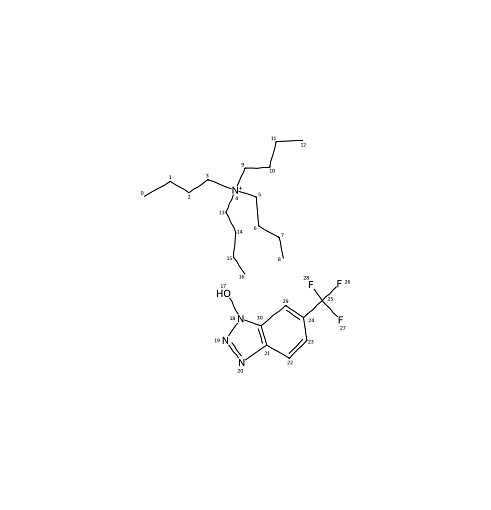 CCCC[N+](CCCC)(CCCC)CCCC.On1nnc2ccc(C(F)(F)F)cc21